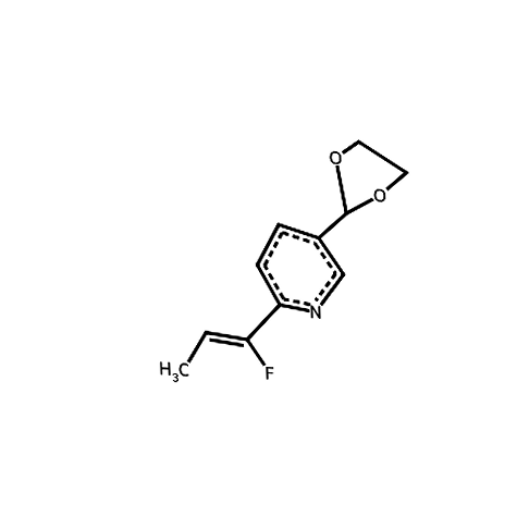 C/C=C(\F)c1ccc(C2OCCO2)cn1